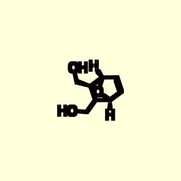 OCC1[C@@H](CO)[C@@H]2C=C[C@H]1O2